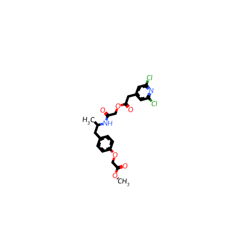 COC(=O)COc1ccc(CC(C)NC(=O)COC(=O)Cc2cc(Cl)nc(Cl)c2)cc1